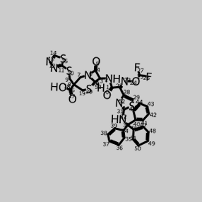 O=C(NC1C(=O)N2CC(CSc3nncs3)(C(=O)O)CS[C@H]12)C(=NOC(F)F)c1csc(NC(c2ccccc2)(c2ccccc2)c2ccccc2)n1